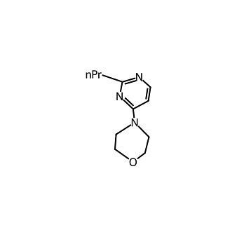 CCCc1nccc(N2CCOCC2)n1